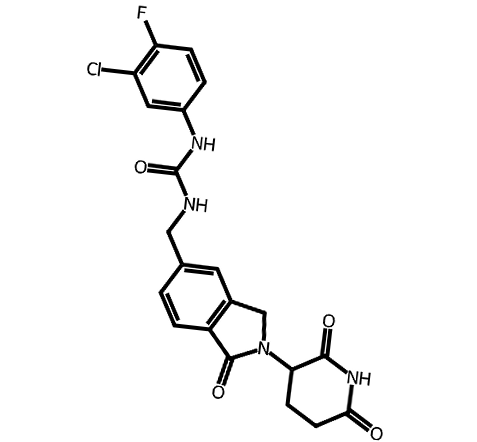 O=C1CCC(N2Cc3cc(CNC(=O)Nc4ccc(F)c(Cl)c4)ccc3C2=O)C(=O)N1